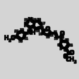 COC(=O)c1ccc(C(=O)C=Cc2ccc(-c3ccc4ncnc(Nc5ccc(C)cc5)c4c3)o2)cc1